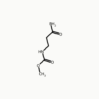 BC(=O)CCNC(=O)OC